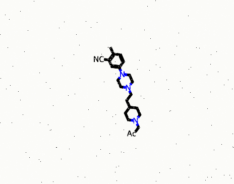 CC(=O)CN1CCC(CCN2CCN(c3ccc(C)c(C#N)c3)CC2)CC1